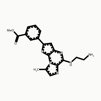 COC(=O)c1cccc(-c2cc3nc(NCCN)c4ncc(C)n4c3s2)c1